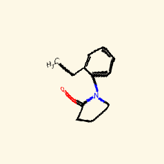 CCc1ccccc1N1CCCC1=O